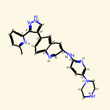 Cc1cccc(-c2n[nH]cc2-c2ccc3ncc(Nc4ccc(N5CCNCC5)cn4)cc3c2)n1